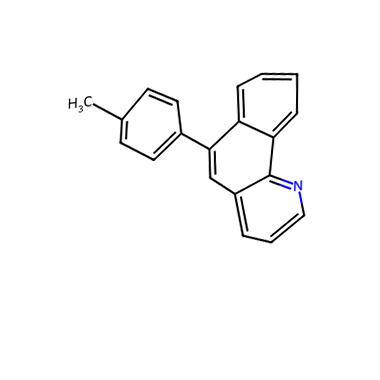 Cc1ccc(-c2cc3cccnc3c3ccccc23)cc1